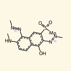 C/N=N/c1c([S](=O)(=O)[Mo])cc2c(/N=N/C)c(NC)ccc2c1O